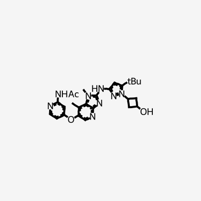 CC(=O)Nc1cc(Oc2cnc3nc(Nc4cc(C(C)(C)C)n(C5CC(O)C5)n4)n(C)c3c2C)ccn1